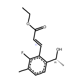 CCOC(=O)/C=C/c1c([C@@H](C)O)ccc(C)c1F